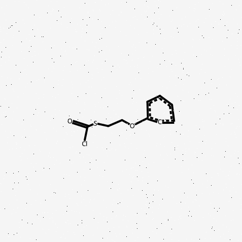 O=C(Cl)SCCOc1ccccc1